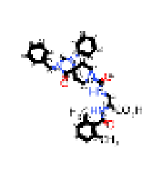 Cc1cccc(C)c1C(=O)NC(CNC(=O)N1CCC2(CC1)C(=O)N(Cc1ccccc1)CN2c1ccccc1)C(=O)O